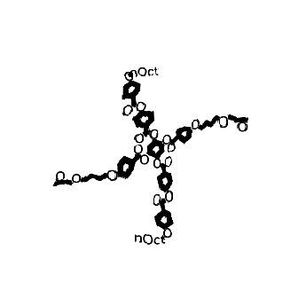 CCCCCCCCOc1ccc(C(=O)Oc2ccc(C(=O)Oc3cc(OC(=O)c4ccc(OCCCCOCC5CO5)cc4)c(OC(=O)c4ccc(OC(=O)c5ccc(OCCCCCCCC)cc5)cc4)cc3OC(=O)c3ccc(OCCCCOCC4CO4)cc3)cc2)cc1